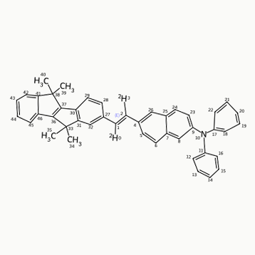 [2H]/C(=C(/[2H])c1ccc2cc(N(c3ccccc3)c3ccccc3)ccc2c1)c1ccc2c(c1)C(C)(C)C1=C2C(C)(C)c2ccccc21